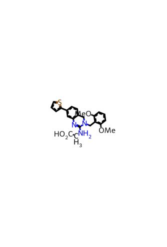 CC(=O)O.COc1cccc(OC)c1CN1Cc2ccc(-c3cccs3)cc2N=C1N